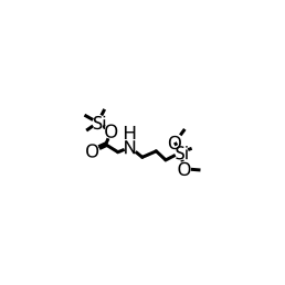 CO[Si](C)(CCCNCC(=O)O[Si](C)(C)C)OC